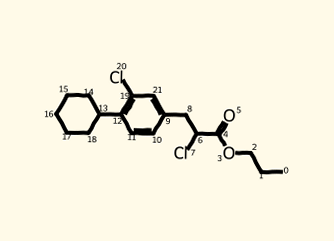 CCCOC(=O)C(Cl)Cc1ccc(C2CCCCC2)c(Cl)c1